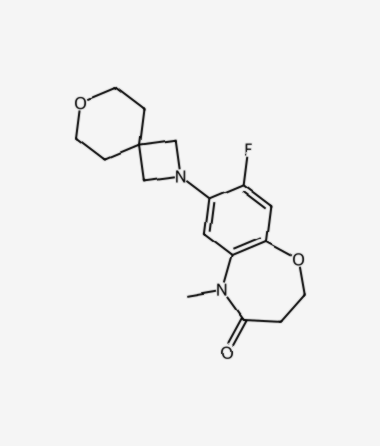 CN1C(=O)CCOc2cc(F)c(N3CC4(CCOCC4)C3)cc21